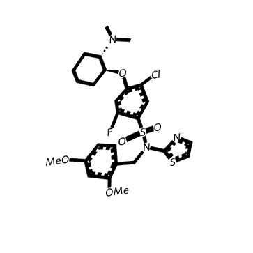 COc1ccc(CN(c2nccs2)S(=O)(=O)c2cc(Cl)c(O[C@H]3CCCC[C@@H]3N(C)C)cc2F)c(OC)c1